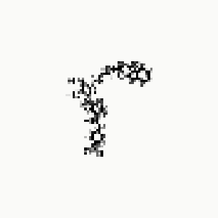 O=C(NCCSC[C@H]1O[C@@H](n2cnc3c(NCc4ccc([N+](=O)[O-])cc4)ncnc32)[C@H](O)[C@@H]1O)OC1=Cc2ccccc2S1(=O)=O